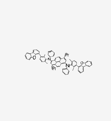 Cc1ccc(-c2cccc3c2oc2ccccc23)c(C)c1N(c1ccccc1)c1cc(C(C)C)c2ccc3c(N(c4ccccc4)c4c(C)ccc(-c5cccc6c5oc5ccccc56)c4C)cc(C(C)C)c4ccc1c2c43